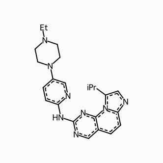 CCN1CCN(c2ccc(Nc3ncc4ccc5ncc(C(C)C)n5c4n3)nc2)CC1